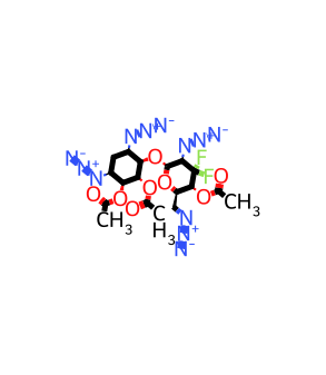 CC(=O)O[C@@H]1[C@@H](OC(C)=O)[C@H](N=[N+]=[N-])C[C@H](N=[N+]=[N-])[C@H]1O[C@H]1O[C@H](CN=[N+]=[N-])[C@@H](OC(C)=O)C(F)(F)[C@H]1N=[N+]=[N-]